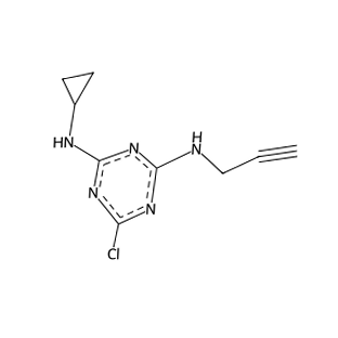 C#CCNc1nc(Cl)nc(NC2CC2)n1